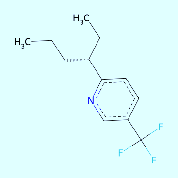 CCC[C@H](CC)c1ccc(C(F)(F)F)cn1